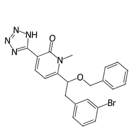 Cn1c(C(Cc2cccc(Br)c2)OCc2ccccc2)ccc(-c2nnn[nH]2)c1=O